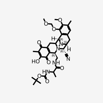 COCOc1c(OC)c(C)cc2c1[C@@H]1C3CC4=C(C(=O)C(O)=C(C)C4=O)[C@H](CNC(=O)C(C)NC(=O)OC(C)(C)C)N3[C@@H](C#N)[C@H](C2)N1C